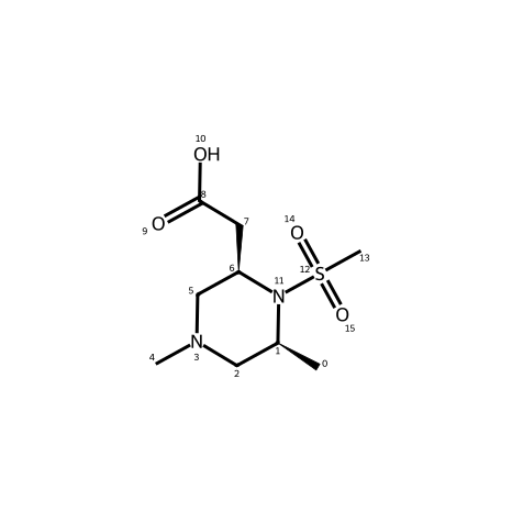 C[C@H]1CN(C)C[C@@H](CC(=O)O)N1S(C)(=O)=O